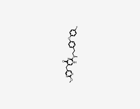 COc1ncc(Cc2c[nH]c(N(C)CCc3ccc(Oc4ccc(F)cc4)cc3)nc2=O)cn1